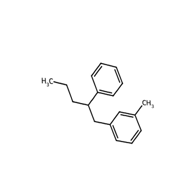 CCCC(Cc1cccc(C)c1)c1ccccc1